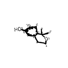 CC1(C)OCCc2cc(O)ccc21